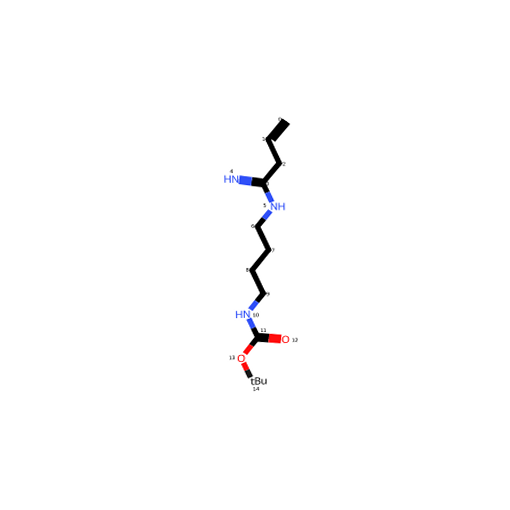 C=CCC(=N)NCCCCNC(=O)OC(C)(C)C